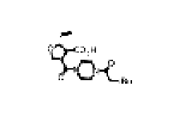 C=C[C@H]1OCC(C(=O)N2CCN(C(=O)CC(C)(C)C)CC2)C1C(=O)O